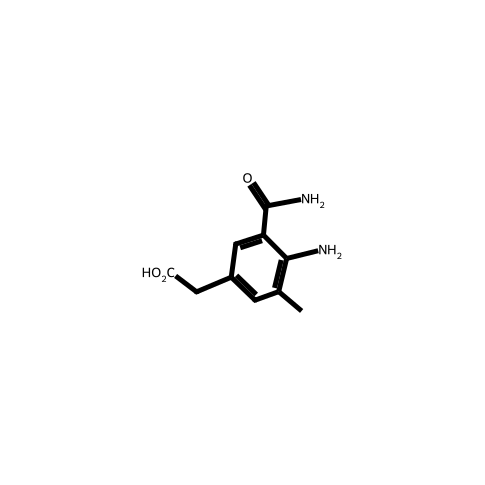 Cc1cc(CC(=O)O)cc(C(N)=O)c1N